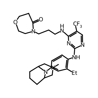 CCc1cc(N2C3CCCC2CN(C)C3)ccc1Nc1ncc(C(F)(F)F)c(NCCCN2CCOCCC2=O)n1